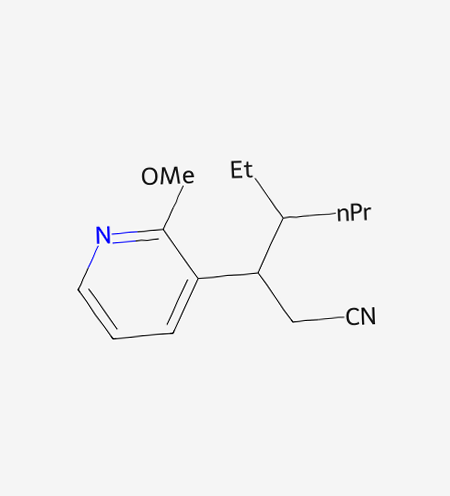 CCCC(CC)C(CC#N)c1cccnc1OC